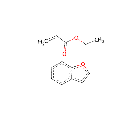 C=CC(=O)OCC.c1ccc2occc2c1